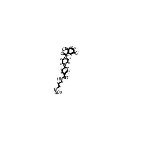 CCCCOCCCNC(=O)c1ccc(N2CCN(C(=O)c3cc(Cl)ccc3Cl)CC2)nc1